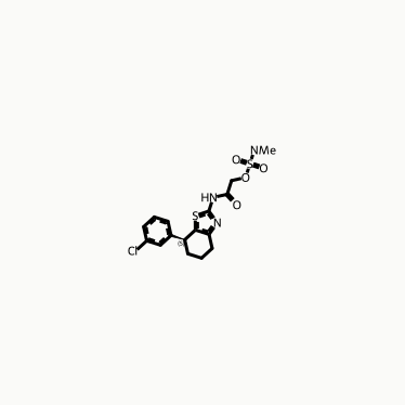 CNS(=O)(=O)OCC(=O)Nc1nc2c(s1)[C@H](c1cccc(Cl)c1)CCC2